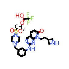 CS(=O)(=O)N1CCN(Cc2cccc(Nc3ncc4ccc(=O)n(CCC5CNC5)c4n3)c2)CC1.O=C(O)C(F)(F)F